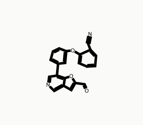 N#Cc1ccccc1Oc1cccc(-c2cncc3cc(C=O)oc23)c1